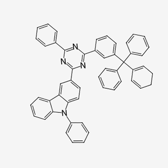 C1=CC(C(c2ccccc2)(c2ccccc2)c2cccc(-c3nc(-c4ccccc4)nc(-c4ccc5c(c4)c4ccccc4n5-c4ccccc4)n3)c2)=CCC1